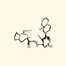 O=C(O)NC[C@@H](CC1CCCC1)C(=O)NNc1nc(Cl)nc(N2CCN3CCOC[C@H]3C2)c1F